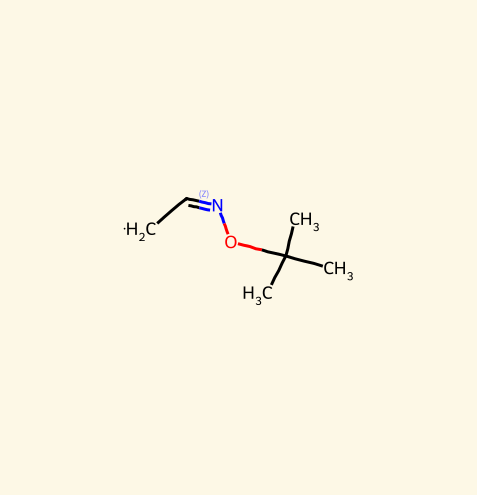 [CH2]/C=N\OC(C)(C)C